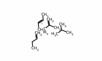 C/C=C/C.C=C(C)C.C=CCC.CC(C)C